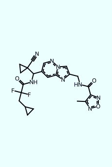 Cc1nonc1C(=O)NCc1cn2ncc(C(NC(=O)C(F)(F)CC3CC3)C3(C#N)CC3)cc2n1